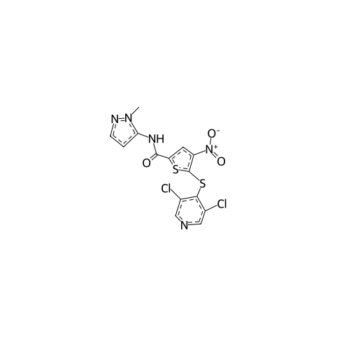 Cn1nccc1NC(=O)c1cc([N+](=O)[O-])c(Sc2c(Cl)cncc2Cl)s1